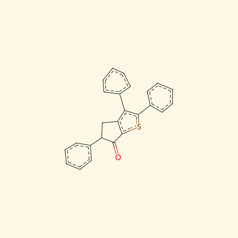 O=C1c2sc(-c3ccccc3)c(-c3ccccc3)c2CC1c1ccccc1